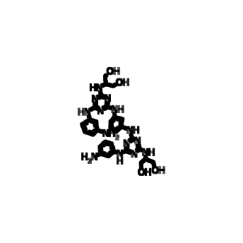 Nc1cccc(Nc2nc(Nc3cccc(Nc4nc(Nc5cccc(N)c5)nc(NC(CO)CO)n4)c3)nc(NC(CO)CO)n2)c1